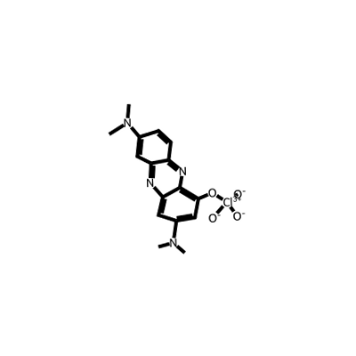 CN(C)c1ccc2nc3c(O[Cl+3]([O-])([O-])[O-])cc(N(C)C)cc3nc2c1